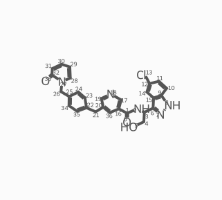 O=C(NC(CO)c1n[nH]c2ccc(Cl)cc12)c1cncc(Cc2ccc(Cn3ccccc3=O)cc2)c1